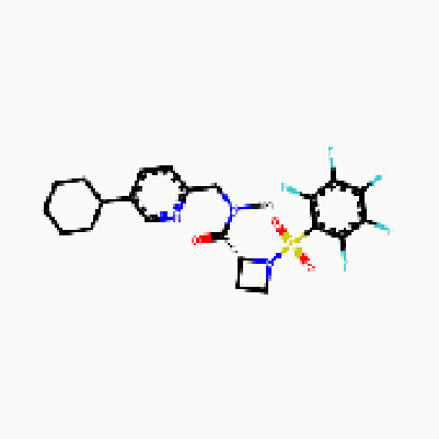 CC(C)N(Cc1ccc(C2CCCCC2)cn1)C(=O)[C@H]1CCN1S(=O)(=O)c1c(F)c(F)c(F)c(F)c1F